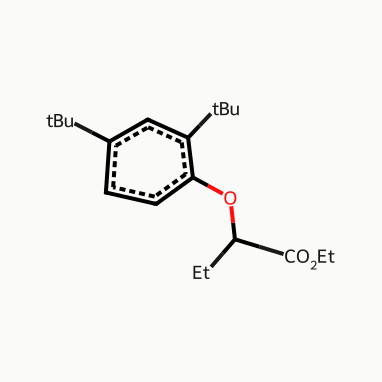 CCOC(=O)C(CC)Oc1ccc(C(C)(C)C)cc1C(C)(C)C